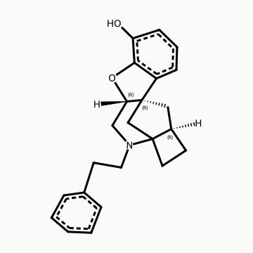 Oc1cccc2c1O[C@H]1CN(CCc3ccccc3)C34CC[C@@H]3C[C@@]21C4